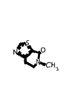 CN1CCc2ncsc2C1=O